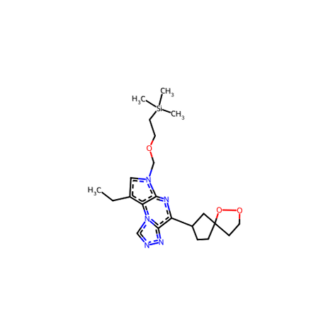 CCc1cn(COCC[Si](C)(C)C)c2nc(C3CCC4(CCOO4)C3)c3nncn3c12